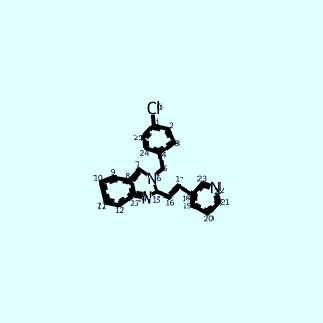 Clc1ccc(CN2C=c3ccccc3=NC2/C=C/c2cccnc2)cc1